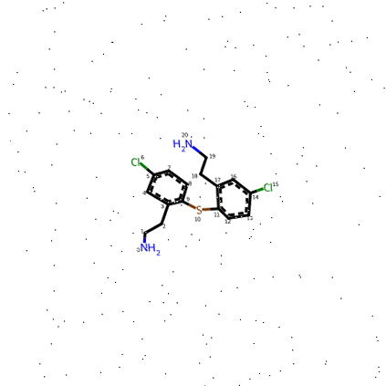 NCCc1cc(Cl)ccc1Sc1ccc(Cl)cc1CCN